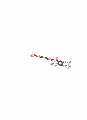 O=C(O)C1CC(C(=O)O)C(C(=O)OCCOCCOCCOCCO)CC1C(=O)O